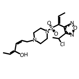 C/C=C(O)\C=C/CN1CCN(S(=O)(=O)/C(=C/C)c2nonc2C(C)Cl)CC1